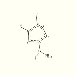 Cc1ccc([C@@H](C)N)cc1C